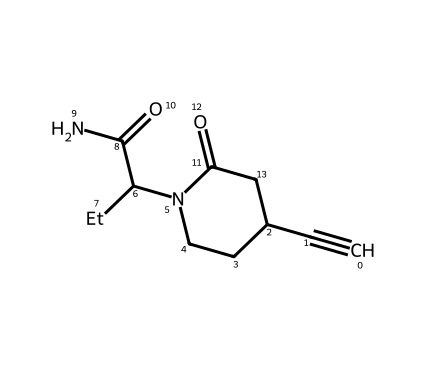 C#CC1CCN(C(CC)C(N)=O)C(=O)C1